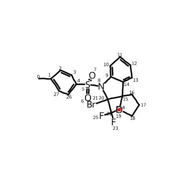 Cc1ccc(S(=O)(=O)N2c3ccccc3C3(CCCO3)C2(Br)C(F)(F)F)cc1